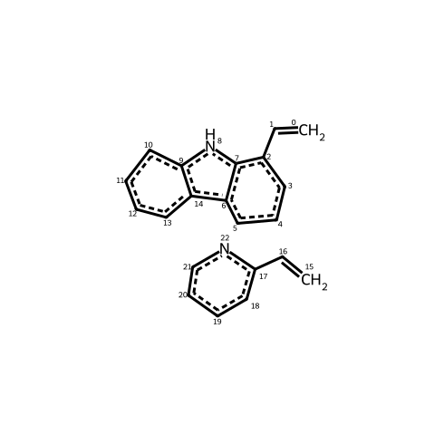 C=Cc1cccc2c1[nH]c1ccccc12.C=Cc1ccccn1